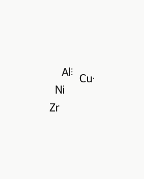 [Al].[Cu].[Ni].[Zr]